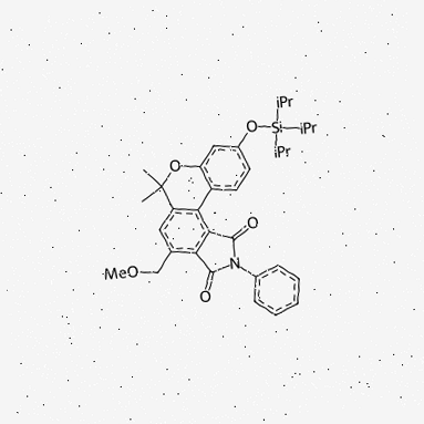 COCc1cc2c(c3c1C(=O)N(c1ccccc1)C3=O)-c1ccc(O[Si](C(C)C)(C(C)C)C(C)C)cc1OC2(C)C